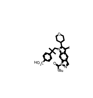 CC(C)(C)C(=O)n1ncc2cc3c(I)c(C4CCOCC4)n(CC(C)(C)c4ccc(C(=O)O)cc4)c3cc21